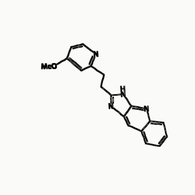 COc1ccnc(CCc2nc3cc4ccccc4nc3[nH]2)c1